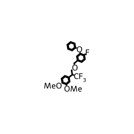 COc1ccc(C(COCc2ccc(F)c(Oc3ccccc3)c2)C(F)(F)F)cc1OC